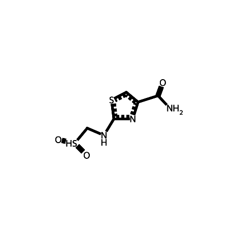 NC(=O)c1csc(NC[SH](=O)=O)n1